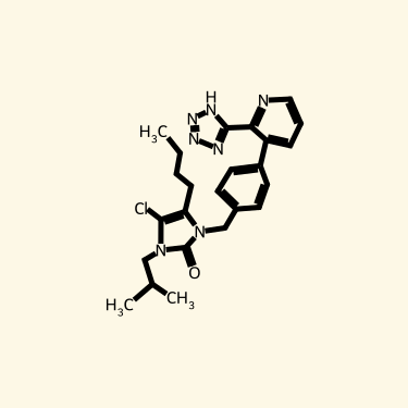 CCCCc1c(Cl)n(CC(C)C)c(=O)n1Cc1ccc(-c2cccnc2-c2nnn[nH]2)cc1